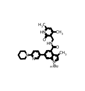 CC[C@@H](C)n1cc(C)c2c(C(=O)NCc3c(C)cc(C)[nH]c3=O)cc(-c3ccc(N4CCCCC4)nc3)cc21